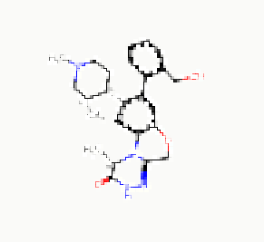 C[C@@H]1CN(C)CC[C@@H]1c1cc2c(cc1-c1ccccc1CO)OCC1=NNC(=O)[C@@H](C)N12